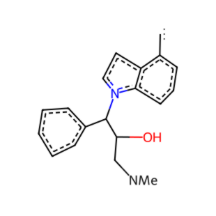 [C]c1cccc2c1ccn2C(c1ccccc1)C(O)CNC